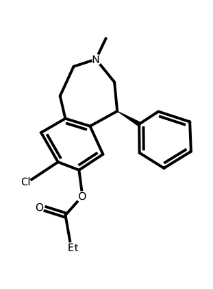 CCC(=O)Oc1cc2c(cc1Cl)CCN(C)C[C@H]2c1ccccc1